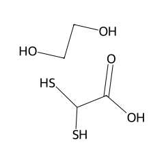 O=C(O)C(S)S.OCCO